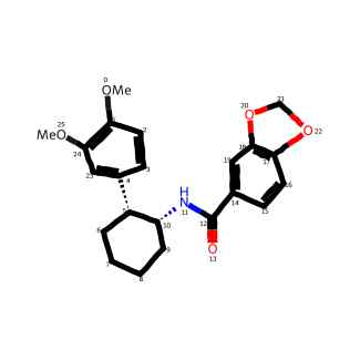 COc1ccc([C@H]2CCCC[C@H]2NC(=O)c2ccc3c(c2)OCO3)cc1OC